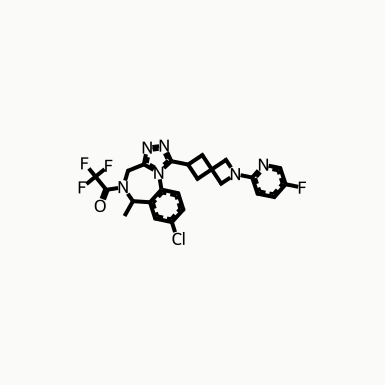 CC1c2cc(Cl)ccc2-n2c(nnc2C2CC3(C2)CN(c2ccc(F)cn2)C3)CN1C(=O)C(F)(F)F